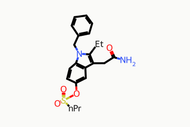 CCCS(=O)(=O)Oc1ccc2c(c1)c(CC(N)=O)c(CC)n2Cc1ccccc1